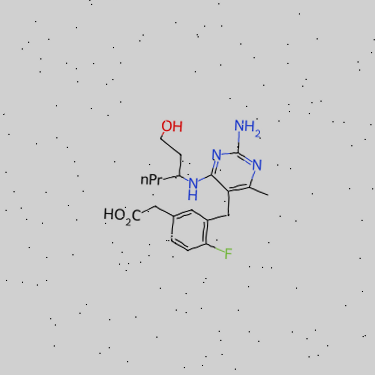 CCCC(CCO)Nc1nc(N)nc(C)c1Cc1cc(CC(=O)O)ccc1F